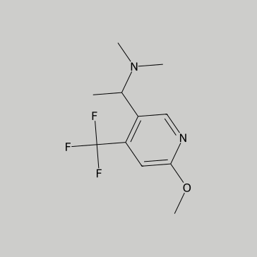 COc1cc(C(F)(F)F)c(C(C)N(C)C)cn1